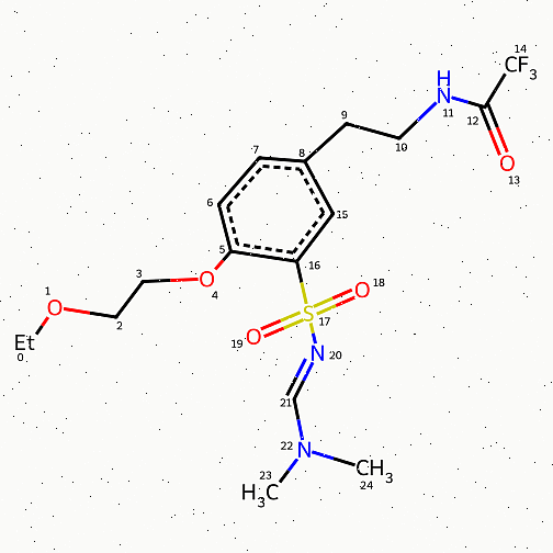 CCOCCOc1ccc(CCNC(=O)C(F)(F)F)cc1S(=O)(=O)/N=C/N(C)C